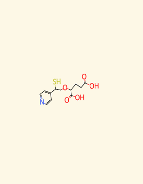 O=C(O)CCC(OCC(S)c1ccncc1)C(=O)O